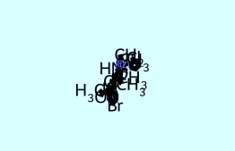 C=C/C=C(NC(=O)CN(C(=O)Cn1nc(C(C)O)c2cc(Br)ccc21)C(C)C)\C(F)=C(/C)c1ccccc1Cl